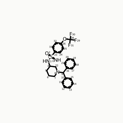 N=S(=O)(NC1CCCN(C(c2ccccc2)c2ccccc2)C1)c1ccc(OC(F)(F)F)cc1